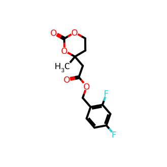 CC1(CC(=O)OCc2ccc(F)cc2F)CCOC(=O)O1